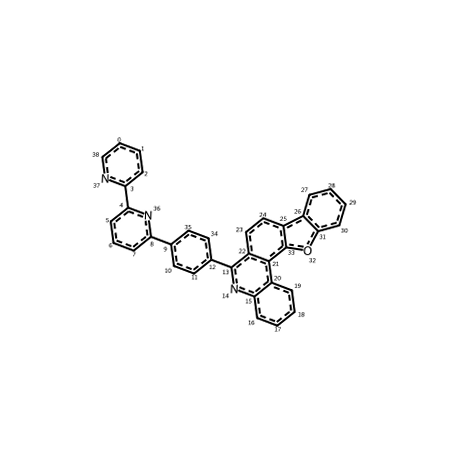 c1ccc(-c2cccc(-c3ccc(-c4nc5ccccc5c5c4ccc4c6ccccc6oc45)cc3)n2)nc1